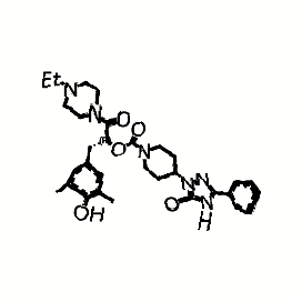 CCN1CCN(C(=O)[C@@H](Cc2cc(C)c(O)c(C)c2)OC(=O)N2CCC(n3nc(-c4ccccc4)[nH]c3=O)CC2)CC1